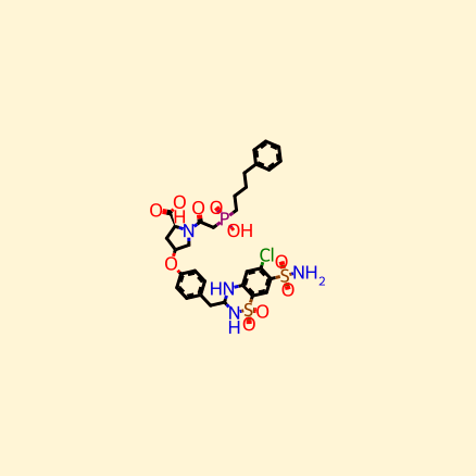 NS(=O)(=O)c1cc2c(cc1Cl)NC(Cc1ccc(OC3C[C@@H](C(=O)O)N(C(=O)CP(=O)(O)CCCCc4ccccc4)C3)cc1)NS2(=O)=O